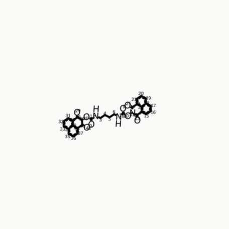 O=C(NCCCCNC(=O)ON1C(=O)c2cccc3cccc(c23)C1=O)OC1C(=O)c2cccc3cccc(c23)C1=O